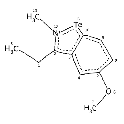 CCc1c2cc(OC)ccc2[te][n+]1C